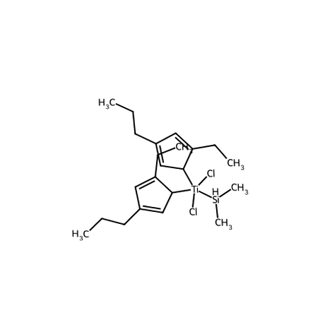 CCCC1=C[CH]([Ti]([Cl])([Cl])([CH]2C=C(CCC)C=C2CC)[SiH](C)C)C(CC)=C1